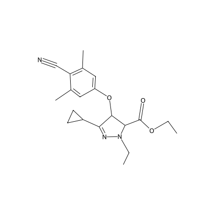 CCOC(=O)C1C(Oc2cc(C)c(C#N)c(C)c2)C(C2CC2)=NN1CC